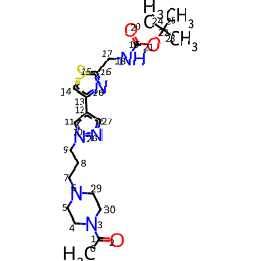 CC(=O)N1CCN(CCCn2cc(-c3csc(CNC(=O)OC(C)(C)C)n3)cn2)CC1